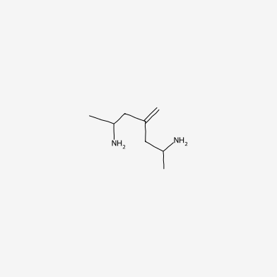 C=C(CC(C)N)CC(C)N